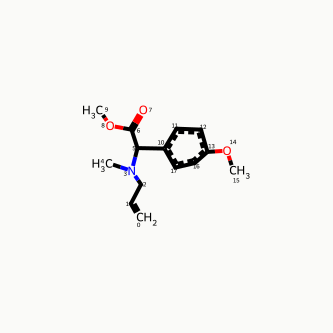 C=CCN(C)C(C(=O)OC)c1ccc(OC)cc1